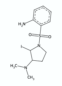 CN(C)C1CCN(S(=O)(=O)c2ccccc2N)C1I